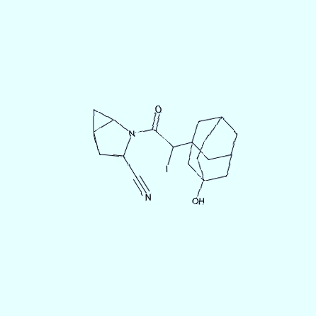 N#CC1CC2CC2N1C(=O)C(I)C12CC3CC(CC(O)(C3)C1)C2